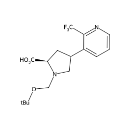 CC(C)(C)OCN1CC(c2cccnc2C(F)(F)F)C[C@@H]1C(=O)O